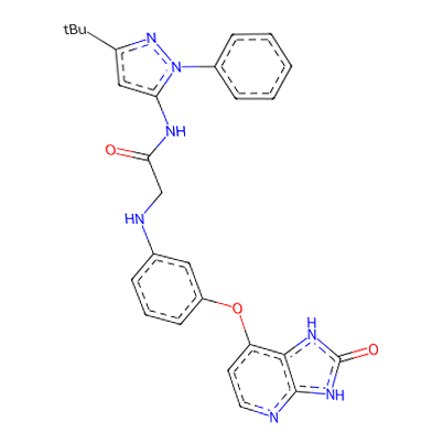 CC(C)(C)c1cc(NC(=O)CNc2cccc(Oc3ccnc4[nH]c(=O)[nH]c34)c2)n(-c2ccccc2)n1